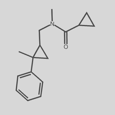 CN(CC1CC1(C)c1ccccc1)C(=O)C1CC1